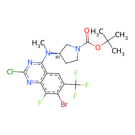 CN(c1nc(Cl)nc2c(F)c(Br)c(C(F)(F)F)cc12)[C@@H]1CCN(C(=O)OC(C)(C)C)C1